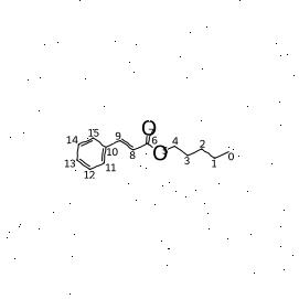 CCCCCOC(=O)C=Cc1ccccc1